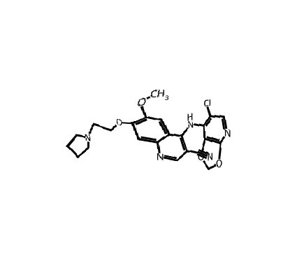 COc1cc2c(Nc3c(Cl)cnc4c3OCO4)c(C#N)cnc2cc1OCCN1CCCC1